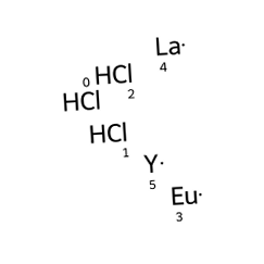 Cl.Cl.Cl.[Eu].[La].[Y]